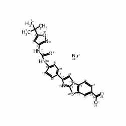 CC(C)(C)c1cc(NC(=O)Nc2ccc(-c3cn4c(n3)sc3cc(C(=O)[O-])ccc34)cc2)no1.[Na+]